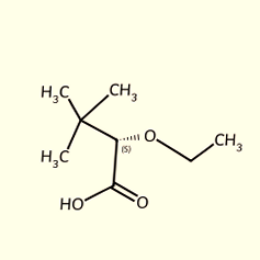 CCO[C@H](C(=O)O)C(C)(C)C